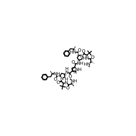 CN[C@@H](C)C(=O)N[C@H](C(=O)N1C[C@@H](NC(=O)c2cc(C(=O)N[C@H]3C[C@@H](C(=O)N[C@H](C)Cc4ccccc4)N(C(=O)[C@@H](NC(=O)[C@H](C)NC)C(C)(C)C)C3)[nH]n2)C[C@H]1C(=O)N[C@H](C)Cc1ccccc1)C(C)(C)C